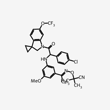 COc1cc(NC(C(=O)N2CC3(CC3)c3ccc(OC(F)(F)F)cc32)c2ccc(Cl)cc2)cc(C(C)=NOC(C)(C)C#N)c1